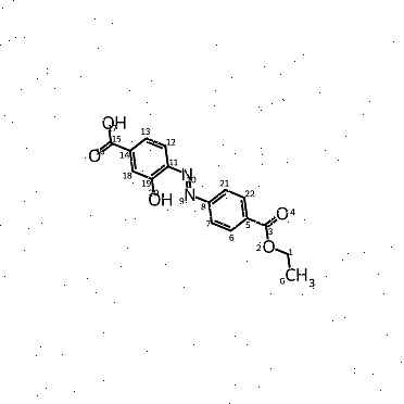 CCOC(=O)c1ccc(/N=N/c2ccc(C(=O)O)cc2O)cc1